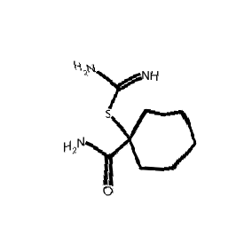 N=C(N)SC1(C(N)=O)CCCCC1